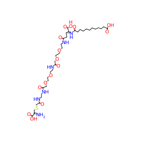 N[C@@H](CSCC(=O)NCCNC(=O)COCCOCCNC(=O)COCCOCCNC(=O)CC[C@H](NC(=O)CCCCCCCCCCC(=O)O)C(=O)O)C(=O)O